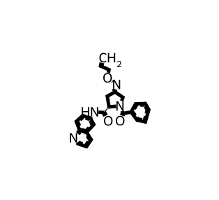 C=CCO/N=C1\C[C@@H](C(=O)Nc2ccc3ncccc3c2)N(C(=O)c2ccccc2)C1